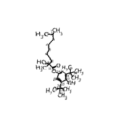 CC(C)CCCCCC(C)(O)C(=O)Oc1cc(C(C)(C)C)c(O)c(C(C)(C)C)c1